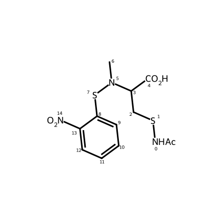 CC(=O)NSCC(C(=O)O)N(C)Sc1ccccc1[N+](=O)[O-]